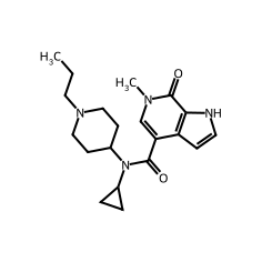 CCCN1CCC(N(C(=O)c2cn(C)c(=O)c3[nH]ccc23)C2CC2)CC1